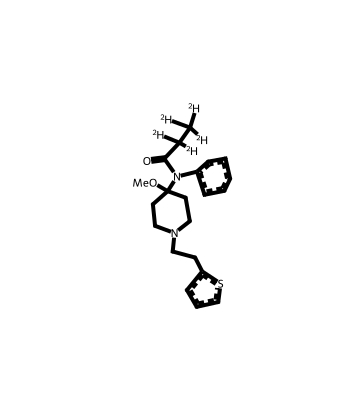 [2H]C([2H])([2H])C([2H])([2H])C(=O)N(c1ccccc1)C1(OC)CCN(CCc2cccs2)CC1